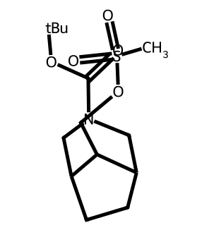 CC(C)(C)OC(=O)N1CC2CCC(C1)C2COS(C)(=O)=O